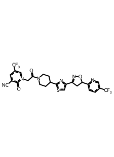 N#Cc1cc(C(F)(F)F)cn(CC(=O)N2CCC(c3nc(C4=NOC(c5ccc(C(F)(F)F)cn5)C4)cs3)CC2)c1=O